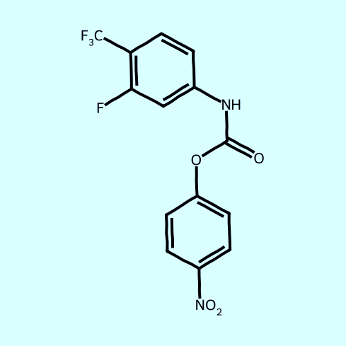 O=C(Nc1ccc(C(F)(F)F)c(F)c1)Oc1ccc([N+](=O)[O-])cc1